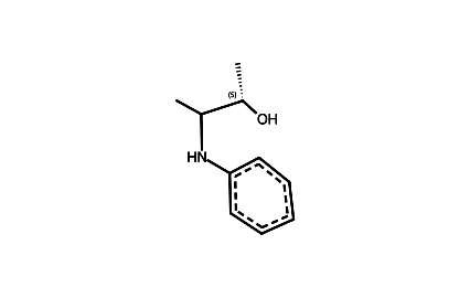 CC(Nc1ccccc1)[C@H](C)O